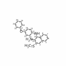 CSc1cc2ccccc2c(Nc2ccc(Oc3ccccc3)cc2)c1N